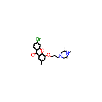 Cc1cc(OCCCN2C[C@@H](C)N(C)[C@@H](C)C2)c2oc3cc(Br)ccc3c(=O)c2c1